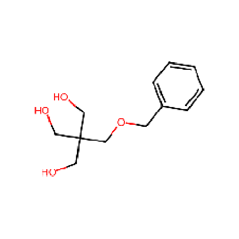 OCC(CO)(CO)COCc1ccccc1